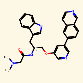 CN(C)CC(=O)N[C@H](COc1cncc(-c2ccc3cnccc3c2)c1)Cc1c[nH]c2ccccc12